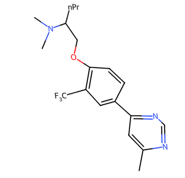 CCCC(COc1ccc(-c2cc(C)ncn2)cc1C(F)(F)F)N(C)C